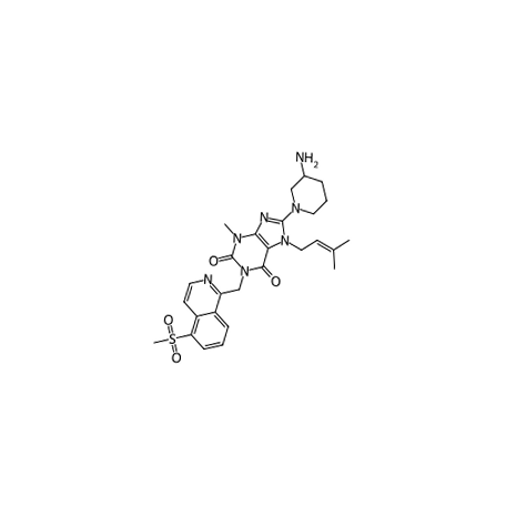 CC(C)=CCn1c(N2CCCC(N)C2)nc2c1c(=O)n(Cc1nccc3c(S(C)(=O)=O)cccc13)c(=O)n2C